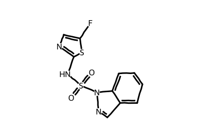 O=S(=O)(Nc1ncc(F)s1)n1ncc2ccccc21